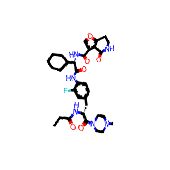 CCC(=O)N[C@H](Cc1ccc(NC(=O)[C@@H](NC(=O)c2coc3c2C(=O)NCC3)C2CCCCC2)c(F)c1)C(=O)N1CCN(C)CC1